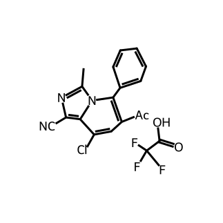 CC(=O)c1cc(Cl)c2c(C#N)nc(C)n2c1-c1ccccc1.O=C(O)C(F)(F)F